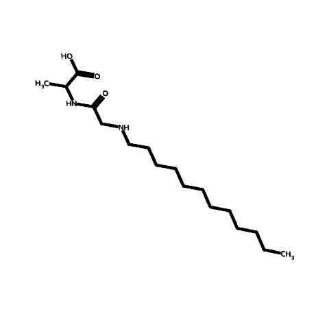 CCCCCCCCCCCCNCC(=O)NC(C)C(=O)O